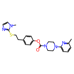 Cc1cccc(N2CCN(C(=O)Oc3ccc(CCSc4nccn4C)cc3)CC2)n1